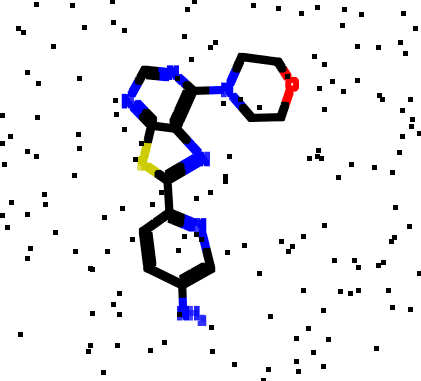 Nc1ccc(-c2nc3c(N4CCOCC4)ncnc3s2)nc1